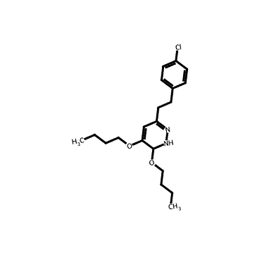 CCCCOC1=CC(CCc2ccc(Cl)cc2)=NNC1OCCCC